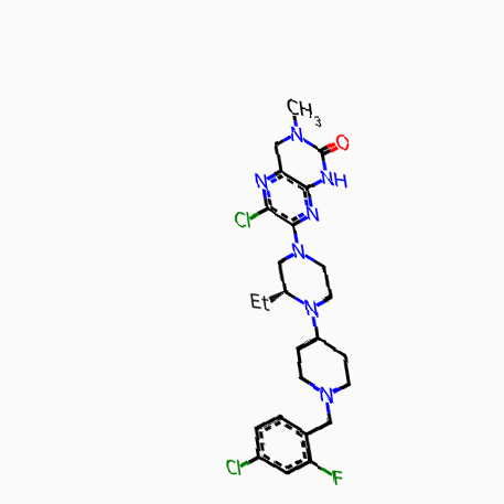 CC[C@H]1CN(c2nc3c(nc2Cl)CN(C)C(=O)N3)CCN1C1CCN(Cc2ccc(Cl)cc2F)CC1